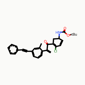 C=C(C(=O)C1=C(Cl)C=CC(NC(=O)OC(C)(C)C)C1)C1=C=CC=C(C#Cc2ccccc2)C=C1C